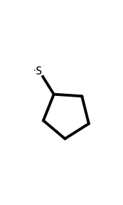 [S]C1CCCC1